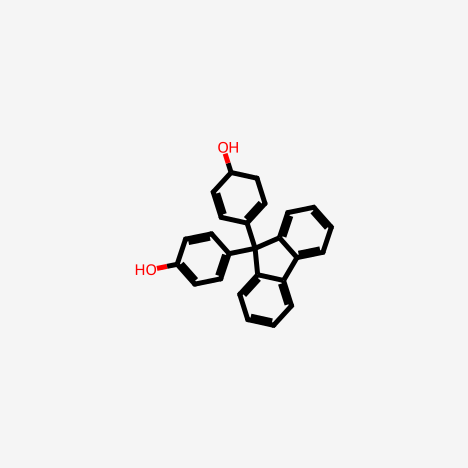 Oc1ccc(C2(C3=CCC(O)C=C3)c3ccccc3-c3ccccc32)cc1